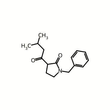 CC(C)CC(=O)C1CCN(Cc2ccccc2)C1=O